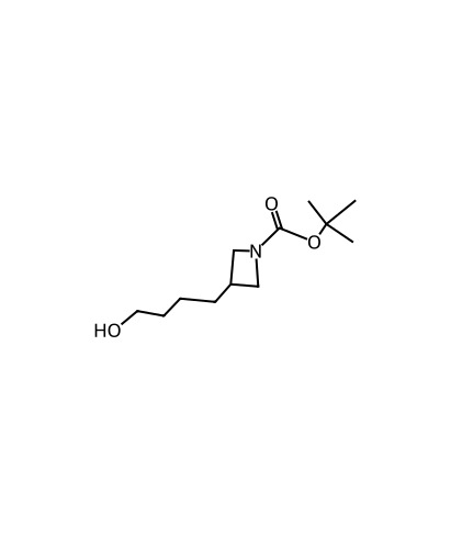 CC(C)(C)OC(=O)N1CC(CCCCO)C1